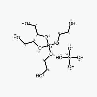 OCCO[N+](OCCO)(OCCO)OCCO.[O-][Si](O)(O)O